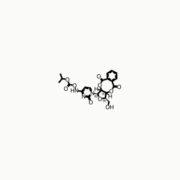 CC(C)OC(=O)ONc1ccn([C@@H]2O[C@H](CO)[C@H]3OC(=O)c4ccccc4C(=O)O[C@H]32)c(=O)n1